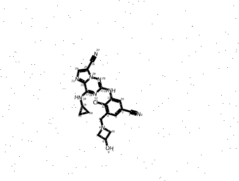 N#Cc1cc(CN2CC(O)C2)c(Cl)c(Nc2nc(NC3CC3)c3ncc(C#N)n3n2)c1